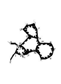 Cc1nc2c3ccccc3c3ccccc3c2n1C